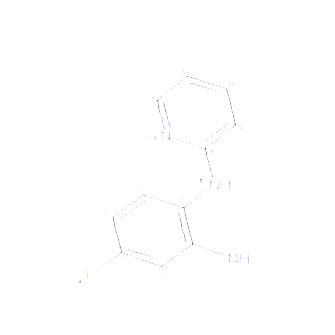 Nc1cc(F)ccc1Nc1ccccn1